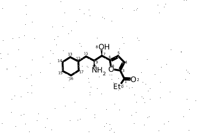 CCC(=O)c1ccc([C@H](O)[C@@H](N)CC2CCCCC2)o1